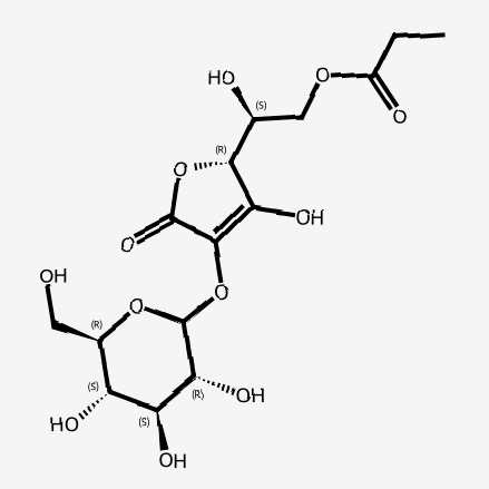 CCC(=O)OC[C@H](O)[C@H]1OC(=O)C(OC2O[C@H](CO)[C@@H](O)[C@H](O)[C@H]2O)=C1O